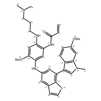 C=CC(=O)Nc1cc(Nc2nc(-c3cn(C)c4cc(OC)ccc34)c3sccc3n2)c(OC)cc1NCCCN(C)C